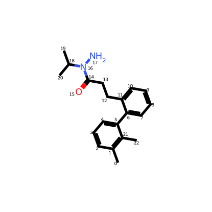 Cc1cccc(-c2ccccc2CCC(=O)N(N)C(C)C)c1C